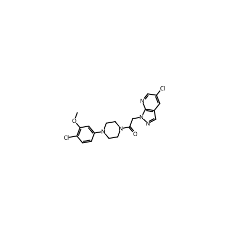 COc1cc(N2CCN(C(=O)Cn3ncc4cc(Cl)cnc43)CC2)ccc1Cl